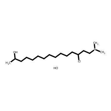 CC(O)CCCCCCCCCCC(Cl)CCN(C)C.Cl